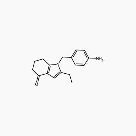 CCc1cc2c(n1Cc1ccc(N)cc1)CCCC2=O